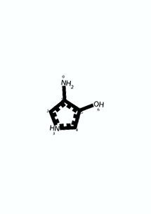 Nc1c[nH]cc1O